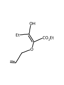 C=CCOC(C(=O)OCC)=C(O)CC